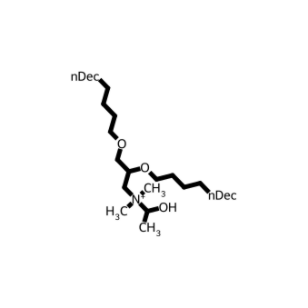 CCCCCCCCCCCCCCOCC(C[N+](C)(C)C(C)O)OCCCCCCCCCCCCCC